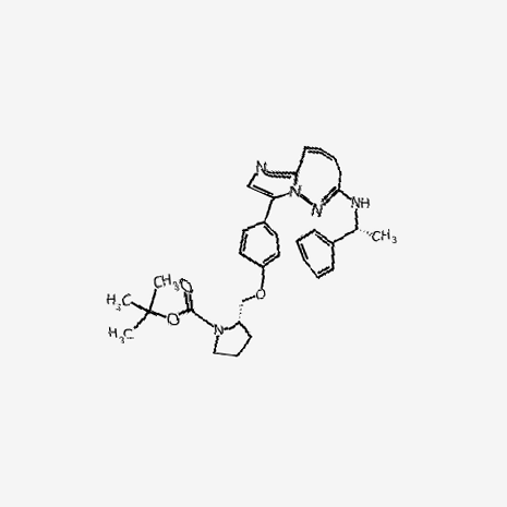 C[C@@H](Nc1ccc2ncc(-c3ccc(OC[C@@H]4CCCN4C(=O)OC(C)(C)C)cc3)n2n1)c1ccccc1